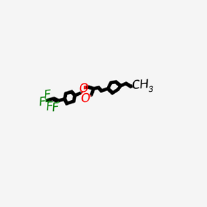 CCCC1CCC(CCC2COC(C3CCC(/C(F)=C/C(F)(F)F)CC3)OC2)CC1